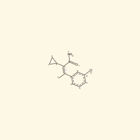 C/C(=C(/C(N)=O)C1CC1)c1cccc(Cl)c1